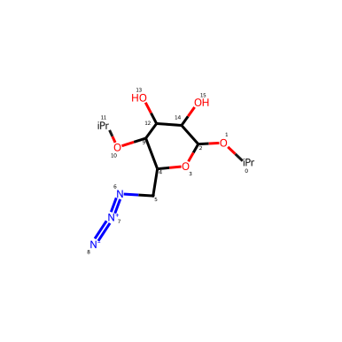 CC(C)OC1OC(CN=[N+]=[N-])C(OC(C)C)C(O)C1O